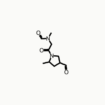 CC1CC(C=O)CN1C(=O)CN(C)C=O